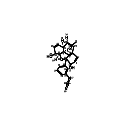 CN1CC[C@]23C4=C5C=CC(O)C4(c4cccc(N=[N+]=[N-])c4)O[C@H]2[C@@H](O)C=C[C@H]3[C@H]1C5